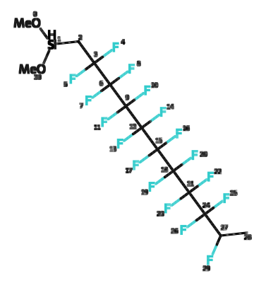 CO[SiH](CC(F)(F)C(F)(F)C(F)(F)C(F)(F)C(F)(F)C(F)(F)C(F)(F)C(F)(F)C(C)F)OC